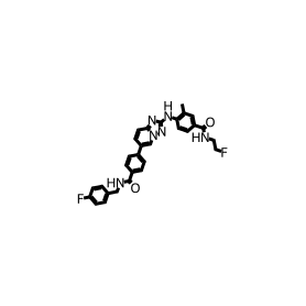 Cc1cc(C(=O)NCCF)ccc1Nc1nc2ccc(-c3ccc(C(=O)NCc4ccc(F)cc4)cc3)cn2n1